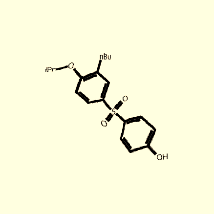 CCCCc1cc(S(=O)(=O)c2ccc(O)cc2)ccc1OC(C)C